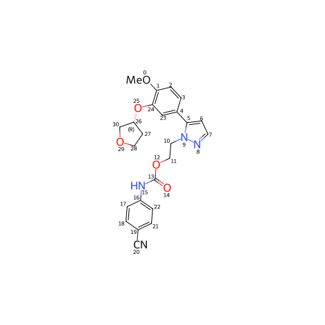 COc1ccc(-c2ccnn2CCOC(=O)Nc2ccc(C#N)cc2)cc1O[C@@H]1CCOC1